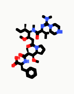 CC[C@H](C)[C@@H]([C@@H](CC(=O)N1CCC[C@H]1[C@H](OC)[C@@H](C)C(=O)N[C@@H](Cc1ccccc1)C(=O)O)OC)N(C)C(=O)[C@@H](N=C(N(C)C)N1CCNCC1)C(C)C